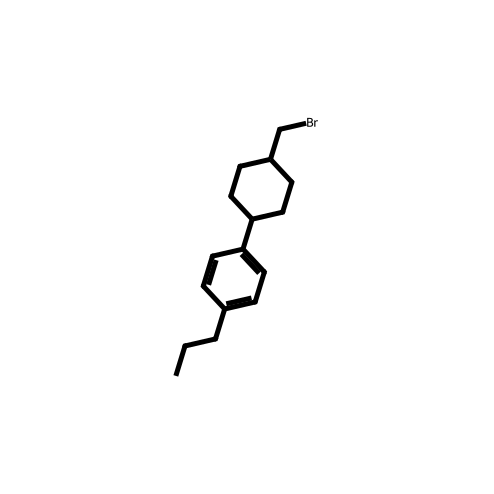 CCCc1ccc(C2CCC(CBr)CC2)cc1